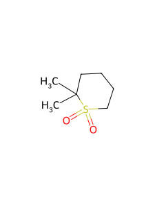 CC1(C)CCCCS1(=O)=O